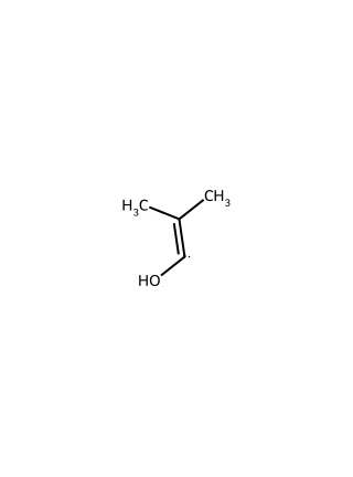 CC(C)=[C]O